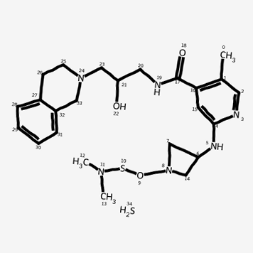 Cc1cnc(NC2CN(OSN(C)C)C2)cc1C(=O)NCC(O)CN1CCc2ccccc2C1.S